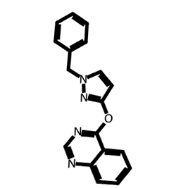 c1ccc(Cn2ccc(Oc3ncnc4ccccc34)n2)cc1